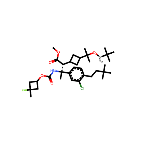 COC(=O)[C@H](C1CC(C(C)(C)O[SiH2]C(C)(C)C)C1)C(C)(NC(=O)OC1CC(C)(F)C1)c1ccc(CCC(C)(C)C)c(Cl)c1